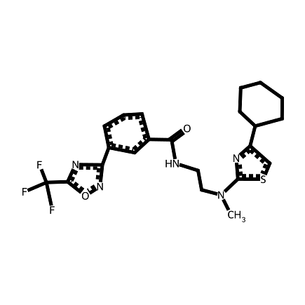 CN(CCNC(=O)c1cccc(-c2noc(C(F)(F)F)n2)c1)c1nc(C2CCCCC2)cs1